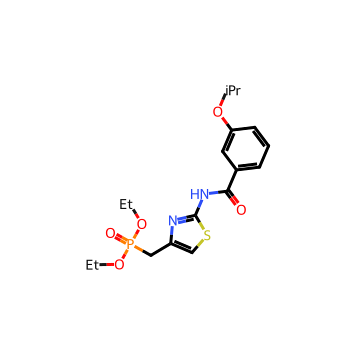 CCOP(=O)(Cc1csc(NC(=O)c2cccc(OC(C)C)c2)n1)OCC